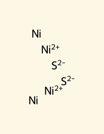 [Ni+2].[Ni+2].[Ni].[Ni].[S-2].[S-2]